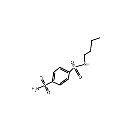 CCCCNS(=O)(=O)c1ccc(S(N)(=O)=O)cc1